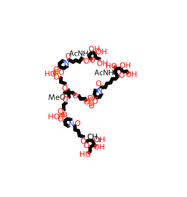 COCC(COCCCOP(=O)(O)OC1CCN(C(=O)CCCCCC2OC(CO)C(O)C(O)C2NC(C)=O)CC1)(COCCCOP(=O)(O)OC1CCN(C(=O)CCCCOC2OC(CO)C(O)C(O)C2C)CC1)COCCCOP(=O)(O)OC1CCN(C(=O)CCCCOC2OC(CO)C(O)C(O)C2NC(C)=O)CC1